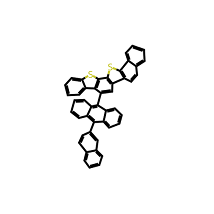 c1ccc2cc(-c3c4ccccc4c(-c4cc5c6ccc7ccccc7c6sc5c5sc6ccccc6c45)c4ccccc34)ccc2c1